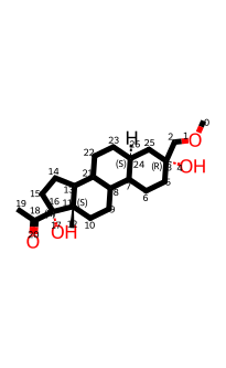 COC[C@@]1(O)CCC2C3CC[C@@]4(C)C(CC[C@]4(O)C(C)=O)C3CC[C@H]2C1